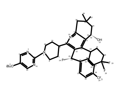 CC(C)COc1cnc(N2CCC(c3nc4c(c(C5CCC(F)(F)CC5)c3[C@@H](F)c3ccc(C(F)(F)F)cc3)[C@@H](O)CC(C)(C)C4)CC2)nc1